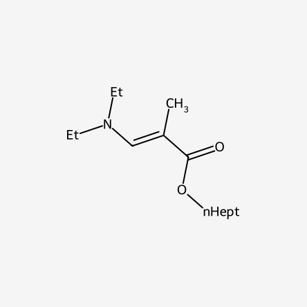 CCCCCCCOC(=O)C(C)=CN(CC)CC